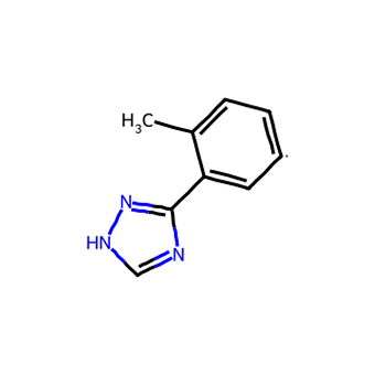 Cc1cc[c]cc1-c1nc[nH]n1